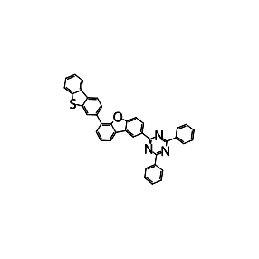 c1ccc(-c2nc(-c3ccccc3)nc(-c3ccc4oc5c(-c6ccc7c(c6)sc6ccccc67)cccc5c4c3)n2)cc1